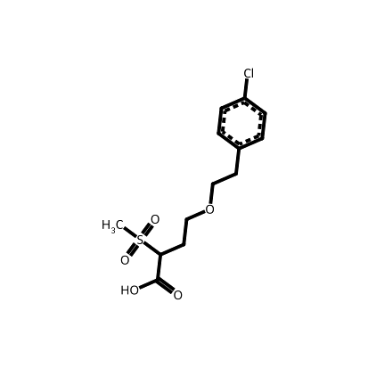 CS(=O)(=O)C(CCOCCc1ccc(Cl)cc1)C(=O)O